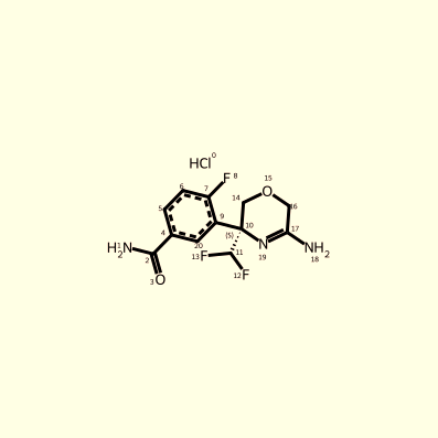 Cl.NC(=O)c1ccc(F)c([C@@]2(C(F)F)COCC(N)=N2)c1